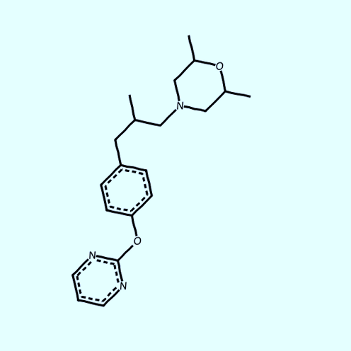 CC(Cc1ccc(Oc2ncccn2)cc1)CN1CC(C)OC(C)C1